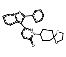 O=c1ccc(-c2c(-c3ccccc3)nn3ccccc23)nn1C1CCC2(CC1)OCCO2